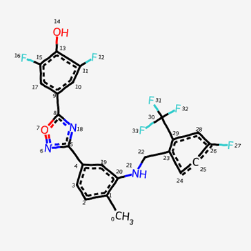 Cc1ccc(-c2noc(-c3cc(F)c(O)c(F)c3)n2)cc1NCc1ccc(F)cc1C(F)(F)F